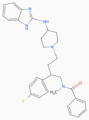 CN(CC(CCN1CCC(Nc2nc3ccccc3[nH]2)CC1)c1ccc(F)cc1)C(=O)c1ccccc1